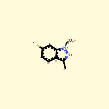 Cc1nn(C(=O)O)c2cc(F)ccc12